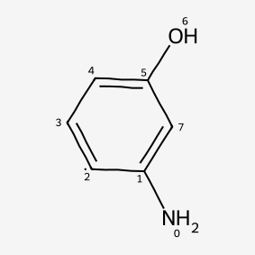 Nc1[c]ccc(O)c1